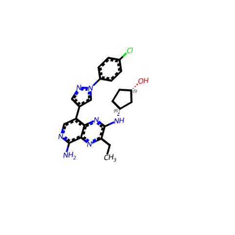 CCc1nc2c(N)ncc(-c3cnn(-c4ccc(Cl)cc4)c3)c2nc1N[C@@H]1CC[C@H](O)C1